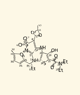 CC[C@@H](NC1=NS(=O)(=O)C(C2OC(C)O2)=C1Nc1csc(S(=O)(=O)N(CC)CC)c1O)c1ccc(C)o1